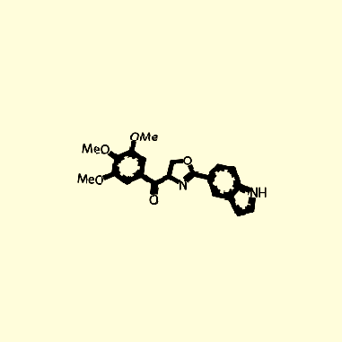 COc1cc(C(=O)C2COC(c3ccc4[nH]ccc4c3)=N2)cc(OC)c1OC